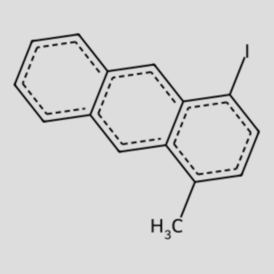 Cc1ccc(I)c2cc3ccccc3cc12